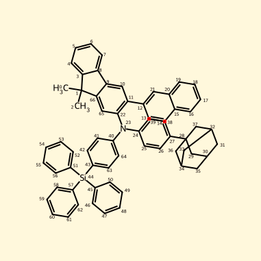 CC1(C)c2ccccc2-c2cc(-c3ccc4ccccc4c3)c(N(c3ccc(C45CC6CC(CC(C6)C4)C5)cc3)c3ccc([Si](c4ccccc4)(c4ccccc4)c4ccccc4)cc3)cc21